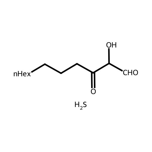 CCCCCCCCCC(=O)C(O)C=O.S